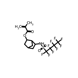 C=C(C)C(=O)OC1CC2CC(NS(=O)(=O)C(F)(F)C(F)(F)C(F)(F)C(F)(F)F)C1C2